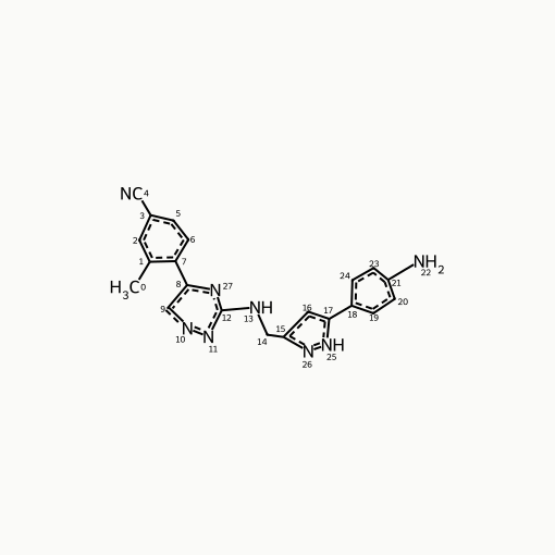 Cc1cc(C#N)ccc1-c1cnnc(NCc2cc(-c3ccc(N)cc3)[nH]n2)n1